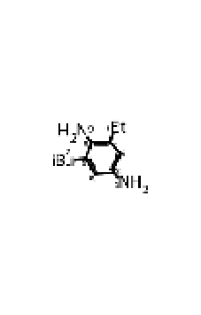 CCc1cc(N)cc(C(C)CC)c1N